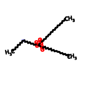 CCCCCCCCC/C=C\CCCCCCCC(=O)OC(COC(=O)CCCCCCCCCCCCCCCCCC)COC(=O)CCCCCCCCCCCCCCCCCCCCC